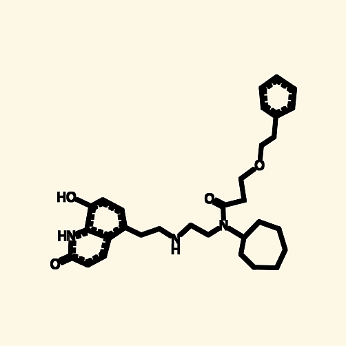 O=C(CCOCCc1ccccc1)N(CCNCCc1ccc(O)c2[nH]c(=O)ccc12)C1CCCCCC1